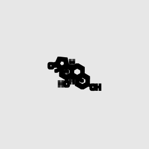 C[C@]12CC[C@@H](O)CC1CC[C@@H]1[C@@H]2[C@@H](O)C[C@]2(C)C(=O)CC[C@@H]12